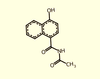 CC(=O)NC(=O)c1ccc(O)c2ccccc12